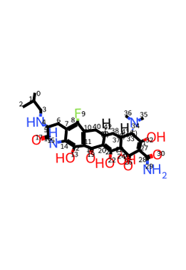 CC(C)CNC1Cc2c(F)c3c(c(O)c2NC1=O)C(=O)C1=C(O)[C@]2(O)C(=O)C(C(N)=O)=C(O)[C@@H](N(C)C)[C@@H]2C[C@@H]1C3